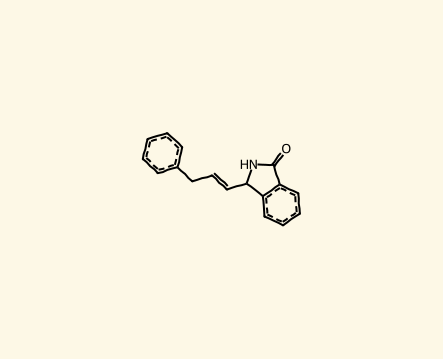 O=C1NC(C=CCc2ccccc2)c2ccccc21